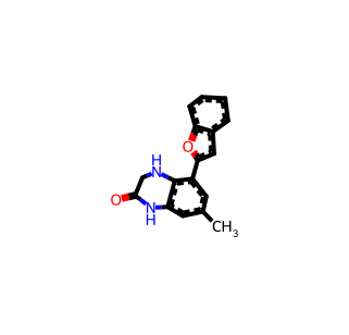 Cc1cc2c(c(-c3cc4ccccc4o3)c1)NCC(=O)N2